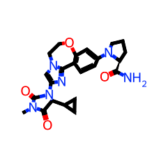 CN1C(=O)C(C2CC2)N(c2cn3c(n2)-c2ccc(N4CCC[C@H]4C(N)=O)cc2OCC3)C1=O